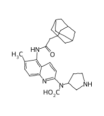 Cc1ccc2nc(N(C(=O)O)C3CCNC3)ccc2c1NC(=O)CC12CC3CC(CC(C3)C1)C2